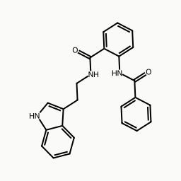 O=C(Nc1ccccc1C(=O)NCCc1c[nH]c2ccccc12)c1ccccc1